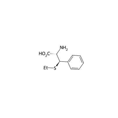 CCS[C@H](c1ccccc1)[C@@H](N)C(=O)O